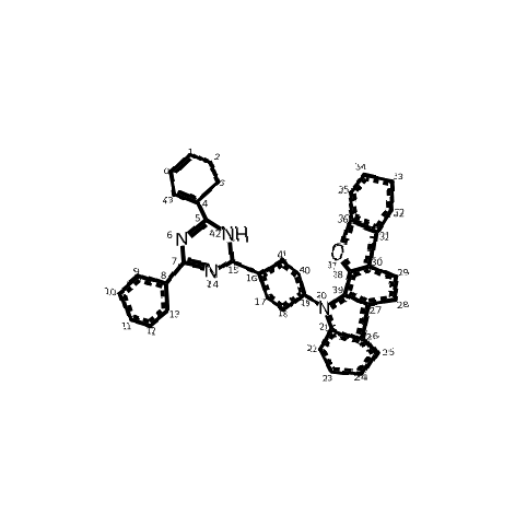 C1=CCCC(C2=NC(c3ccccc3)=NC(c3ccc(-n4c5ccccc5c5ccc6c7ccccc7oc6c54)cc3)N2)=C1